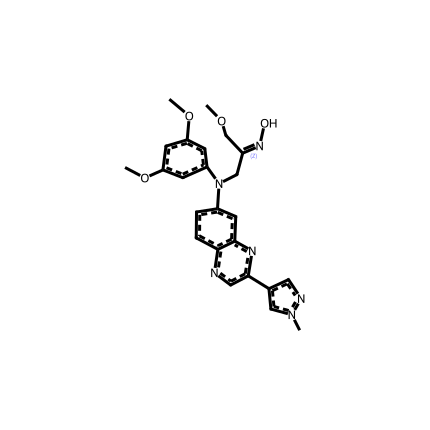 COC/C(CN(c1cc(OC)cc(OC)c1)c1ccc2ncc(-c3cnn(C)c3)nc2c1)=N\O